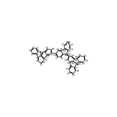 c1ccc2c(c1)c1cccc3c4cc(-c5ccc6c(c5)c5cnccc5n6-c5cc6c7ccccc7n7c8ccccc8c(c5)c67)ccc4n2c13